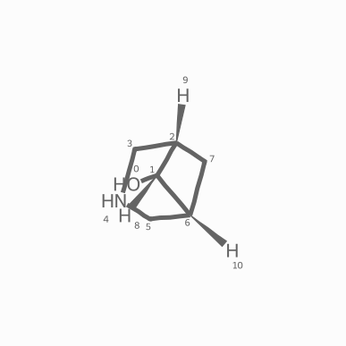 O[C@@H]1[C@@H]2CNC[C@H]1C2